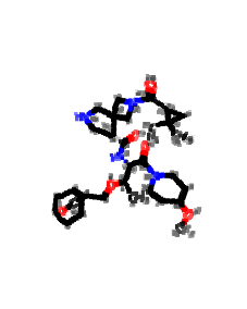 C[C@@H](OCC12CCC(CC1)OC2)[C@H](NC(=O)[C@@H]1CNCC12CN(C(=O)[C@H]1CC1(C)C)C2)C(=O)N1CCC(OC(F)(F)F)CC1